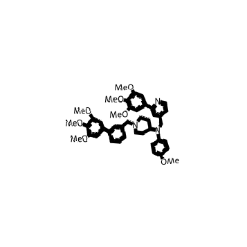 COc1ccc(N(Cc2ccnc(-c3cc(OC)c(OC)c(OC)c3)c2)C2CCN(Cc3cccc(-c4cc(OC)c(OC)c(OC)c4)c3)CC2)cc1